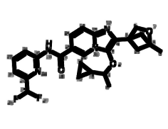 CC(Oc1c(C23COC(C)(C2)C3)nc2ccc(C(=O)Nc3cccc(C(F)F)n3)cn12)C1CC1